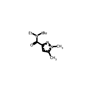 CCN(C(=O)c1cc(C)n(C)n1)C(C)(C)C